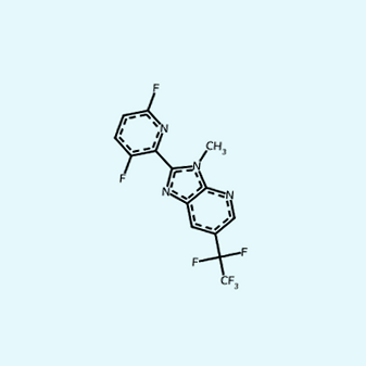 Cn1c(-c2nc(F)ccc2F)nc2cc(C(F)(F)C(F)(F)F)cnc21